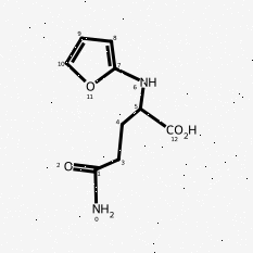 NC(=O)CCC(Nc1ccco1)C(=O)O